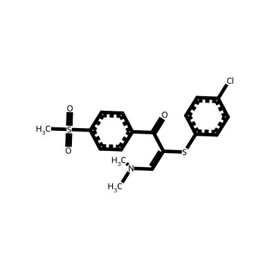 CN(C)/C=C(/Sc1ccc(Cl)cc1)C(=O)c1ccc(S(C)(=O)=O)cc1